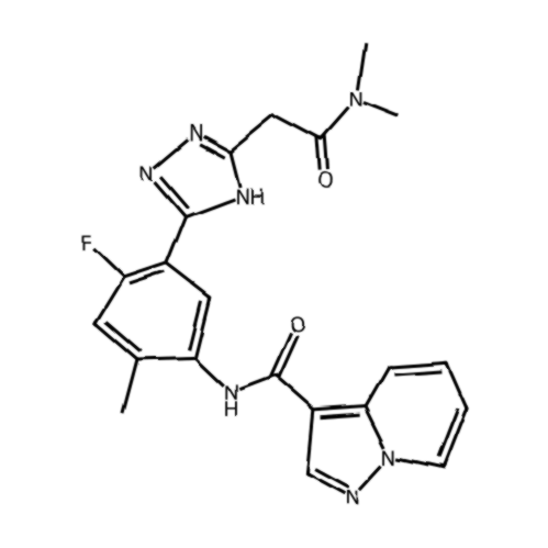 Cc1cc(F)c(-c2nnc(CC(=O)N(C)C)[nH]2)cc1NC(=O)c1cnn2ccccc12